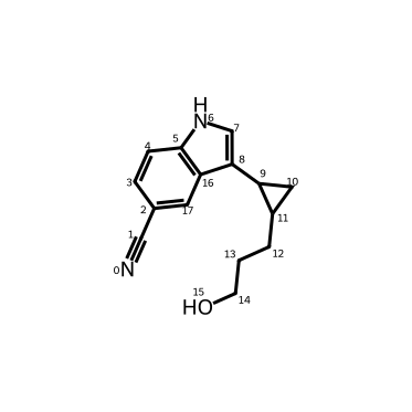 N#Cc1ccc2[nH]cc(C3CC3CCCO)c2c1